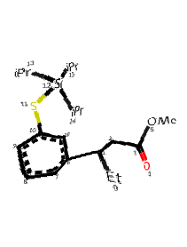 CCC(CC(=O)OC)c1cccc(S[Si](C(C)C)(C(C)C)C(C)C)c1